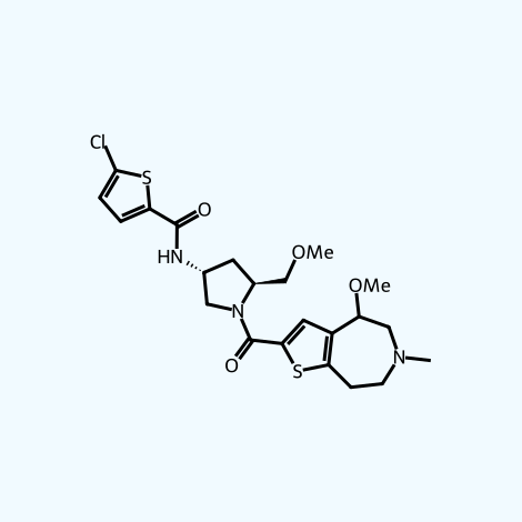 COC[C@@H]1C[C@@H](NC(=O)c2ccc(Cl)s2)CN1C(=O)c1cc2c(s1)CCN(C)CC2OC